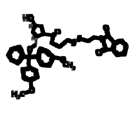 COc1ccc(C(OC[C@@H]2C[C@@H](O)CC2C(=O)CCCSSCCN2C(=O)c3ccccc3C2=O)(c2ccccc2)c2ccc(OC)cc2)cc1